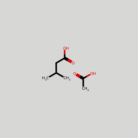 CC(=O)O.CC(C)CC(=O)O